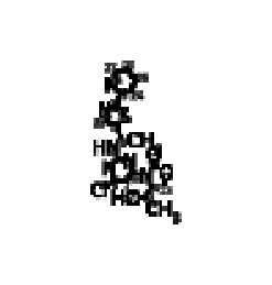 C[C@H](Nc1nc(Cl)cc(N2C(=O)OC[C@@H]2[C@@H](C)O)n1)c1cnc(-c2ccccn2)s1